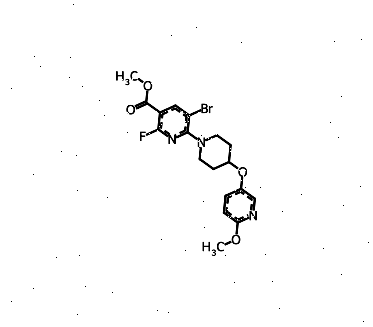 COC(=O)c1cc(Br)c(N2CCC(Oc3ccc(OC)nc3)CC2)nc1F